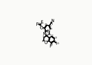 N#CC1=CN2C[C@@]3(CCOc4c3ccc(I)c4F)N=C2C(OC(F)F)=C1